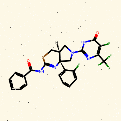 O=C(NC1=N[C@@]2(c3ccccc3F)CN(c3nc(C(F)(F)F)c(F)c(=O)[nH]3)C[C@H]2CS1)c1ccccc1